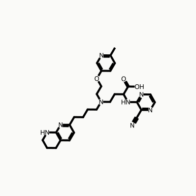 Cc1ccc(OCCN(CCCCc2ccc3c(n2)NCCC3)CCC(Nc2nccnc2C#N)C(=O)O)cn1